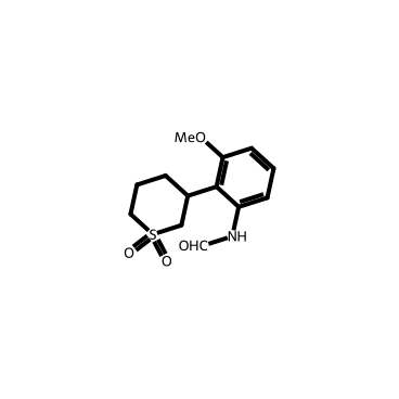 COc1cccc(NC=O)c1C1CCCS(=O)(=O)C1